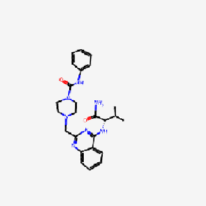 CC(C)[C@H](Nc1nc(CN2CCN(C(=O)Nc3ccccc3)CC2)nc2ccccc12)C(N)=O